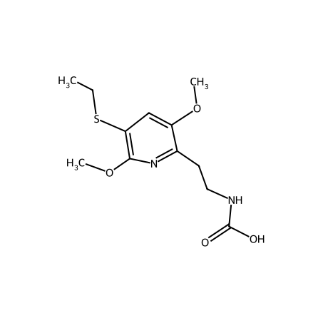 CCSc1cc(OC)c(CCNC(=O)O)nc1OC